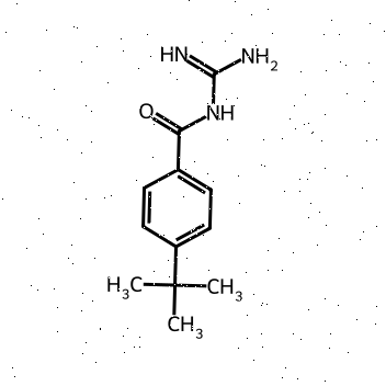 CC(C)(C)c1ccc(C(=O)NC(=N)N)cc1